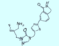 NC/C(=C\F)Cn1ncn(Cc2ccc(-c3ccc4c(c3)C(=O)NC4)s2)c1=O